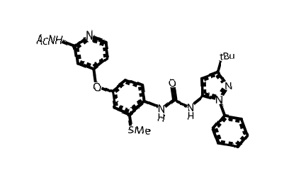 CSc1cc(Oc2ccnc(NC(C)=O)c2)ccc1NC(=O)Nc1cc(C(C)(C)C)nn1-c1ccccc1